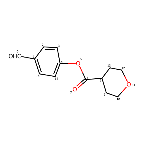 O=Cc1ccc(OC(=O)C2CCOCC2)cc1